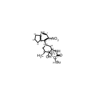 CC1CN(c2c([N+](=O)[O-])cnc3c2CCC3)CC(NC(=O)OC(C)(C)C)C1(C)O